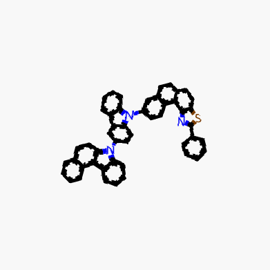 c1ccc(-c2nc3c(ccc4ccc5cc(-n6c7ccccc7c7cc(-n8c9ccccc9c9c%10ccccc%10ccc98)ccc76)ccc5c43)s2)cc1